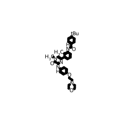 Cc1c(NC(=O)c2ccc(C(C)(C)C)cc2)cccc1-c1cn(C)c(=O)c(Nc2ccc(OCCN3CCOCC3)cc2)n1